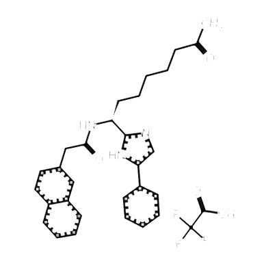 CC(=O)CCCCC[C@H](NC(=O)Cc1ccc2ccccc2c1)c1ncc(-c2ccccc2)[nH]1.O=C(O)C(F)(F)F